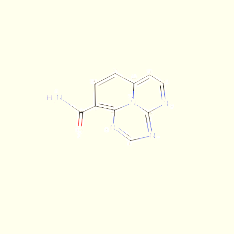 NC(=O)C1=C2N=CN=C3N=CC=C(C=C1)N32